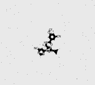 C[C@H](NC(=O)c1cc(C#N)cc(OC(F)(F)F)c1)c1nc(C2CC2)nn1-c1cc(C#N)ncn1